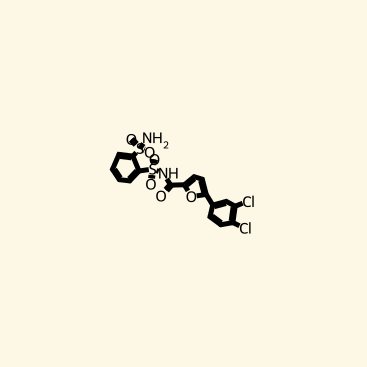 NS(=O)(=O)c1ccccc1S(=O)(=O)NC(=O)c1ccc(-c2ccc(Cl)c(Cl)c2)o1